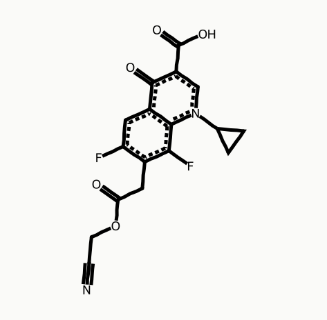 N#CCOC(=O)Cc1c(F)cc2c(=O)c(C(=O)O)cn(C3CC3)c2c1F